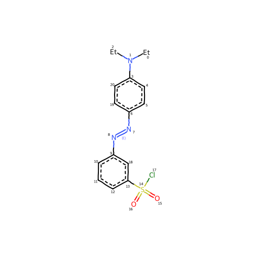 CCN(CC)c1ccc(/N=N/c2cccc(S(=O)(=O)Cl)c2)cc1